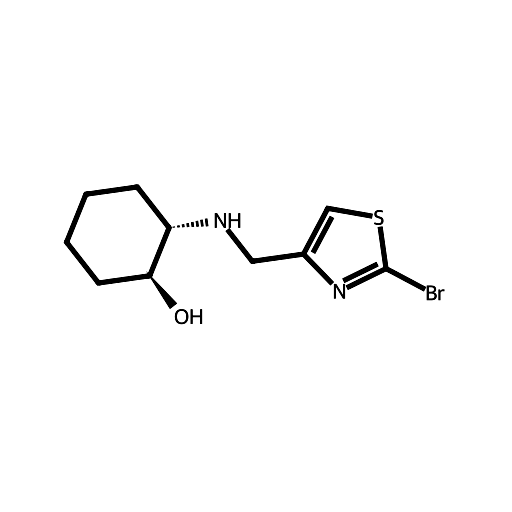 O[C@H]1CCCC[C@@H]1NCc1csc(Br)n1